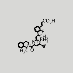 C=C(/C=C1/N=C(C(=O)N2CCc3ccccc3C2C)C=C(C2CC2)N1C)c1cccc(/C=C/C(=O)O)c1F